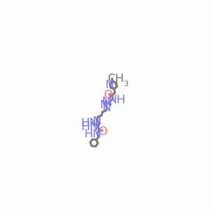 Cc1ccc(CC(=O)Nc2cn(CCCCN3C=C(C(=O)NCC4CCCCC4)NN3)nn2)cn1